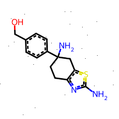 Nc1nc2c(s1)CC(N)(c1ccc(CO)cc1)CC2